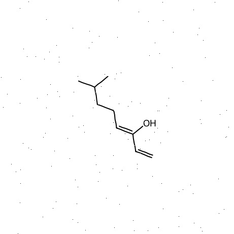 C=CC(O)=CCCC(C)C